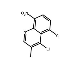 Cc1cnc2c([N+](=O)[O-])ccc(Cl)c2c1Cl